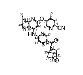 Cc1cc(C#N)ncc1Oc1cc(Nc2ccc(C(=O)N3CC4OC45CC3C5)cn2)c2ncn(C)c2n1